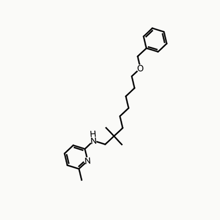 Cc1cccc(NCC(C)(C)CCCCCCOCc2ccccc2)n1